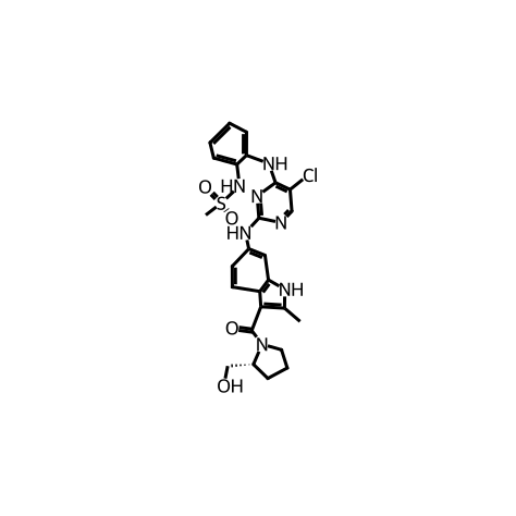 Cc1[nH]c2cc(Nc3ncc(Cl)c(Nc4ccccc4NS(C)(=O)=O)n3)ccc2c1C(=O)N1CCC[C@@H]1CO